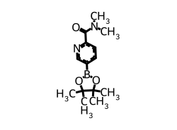 CN(C)C(=O)c1ccc(B2OC(C)(C)C(C)(C)O2)cn1